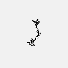 CCO[Si](CCCCOCCN(C)CCOCCCC[Si](OCC)(OCC)OCC)(OCC)OCC